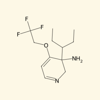 CCC(CC)C1(N)CN=CC=C1OCC(F)(F)F